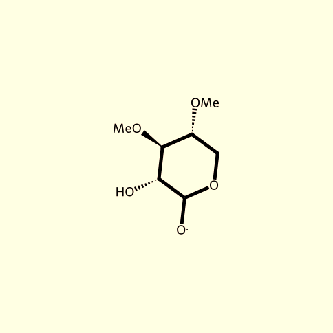 CO[C@H]1[C@H](OC)COC([O])[C@@H]1O